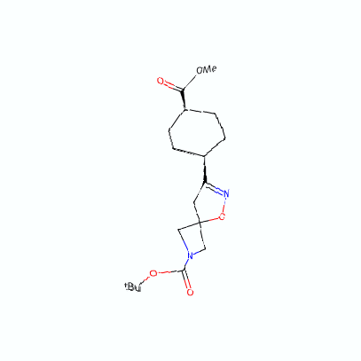 COC(=O)[C@H]1CC[C@@H](C2=NOC3(C2)CN(C(=O)OC(C)(C)C)C3)CC1